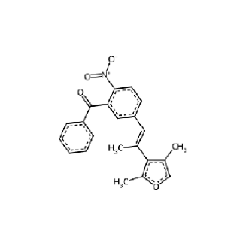 C/C(=C\c1ccc([N+](=O)[O-])c(C(=O)c2ccccc2)c1)c1c(C)coc1C